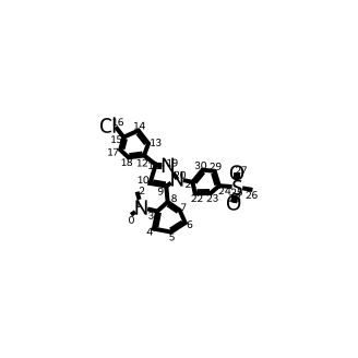 CN(C)c1ccccc1-c1cc(-c2ccc(Cl)cc2)nn1-c1ccc(S(C)(=O)=O)cc1